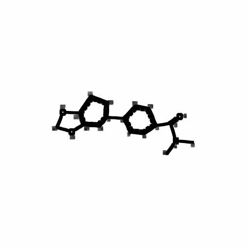 CN(C)C(=O)c1ccc(-c2ccc3c(c2)OCO3)cc1